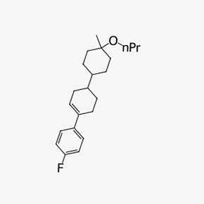 CCCOC1(C)CCC(C2CC=C(c3ccc(F)cc3)CC2)CC1